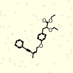 CCOC(=O)C(Cc1ccc(OC/C=C(/C)C#Cc2ccccc2)cc1)OCC